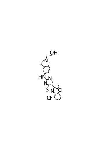 O=C1c2cnc(Nc3ccc4c(c3)CCN(CCO)C4)nc2SCN1c1c(Cl)cccc1Cl